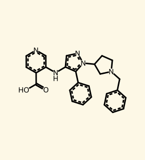 O=C(O)c1ccncc1Nc1cnn(C2CCN(Cc3ccccc3)C2)c1-c1ccccc1